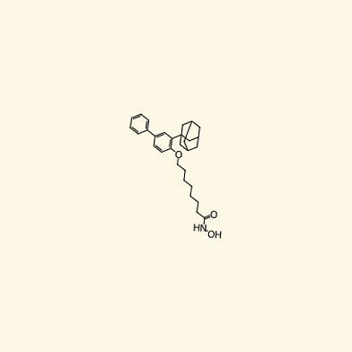 O=C(CCCCCCCOc1ccc(-c2ccccc2)cc1C12CC3CC(CC(C3)C1)C2)NO